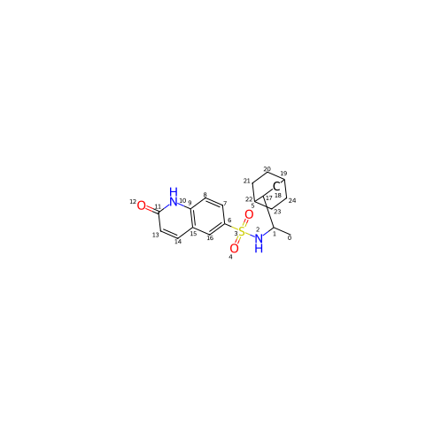 CC(NS(=O)(=O)c1ccc2[nH]c(=O)ccc2c1)C1CC2CCC1CC2